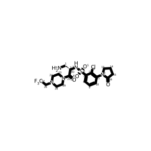 NC[C@H](NS(=O)(=O)c1cccc(N2CCCC2=O)c1Cl)C(=O)N1CCN(CC(F)(F)F)CC1